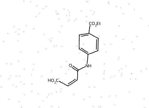 CCOC(=O)c1ccc(NC(=O)/C=C\C(=O)O)cc1